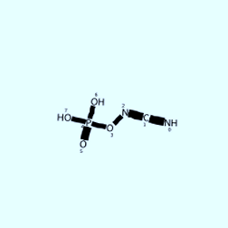 N=C=NOP(=O)(O)O